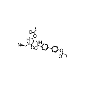 CCC(=O)Oc1ccc(-c2ccc(C(=O)N[C@H](C(=O)NCC#N)[C@@H](C)OC(=O)CC)cc2)cc1